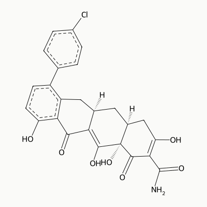 NC(=O)C1=C(O)C[C@@H]2C[C@@H]3Cc4c(-c5ccc(Cl)cc5)ccc(O)c4C(=O)C3=C(O)[C@]2(O)C1=O